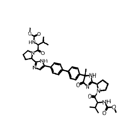 COC(=O)NC(C(=O)N1CCCC1C1=NC(=O)C(C)(c2ccc(-c3ccc(-c4cnc(C5CCCN5C(=O)C(NC(=O)OC)C(C)C)[nH]4)cc3)cc2)N1)C(C)C